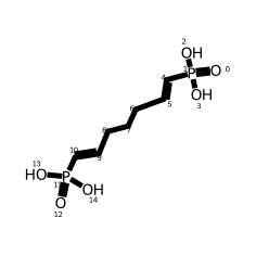 O=P(O)(O)C=CCCCC=CP(=O)(O)O